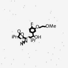 COCCCOc1cc(C(O)[C@@H](C[C@H](N=[N+]=[N-])[C@@H]2C[C@@H](C(C)C)C(=O)O2)C(C)C)ccc1F